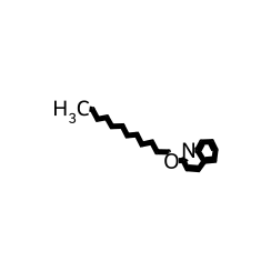 CCCCCCCCCCCCOc1ccc2ccccc2n1